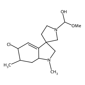 COC(O)N1CCC2(CN(C)C3CC(C)C(Cl)C=C32)C1